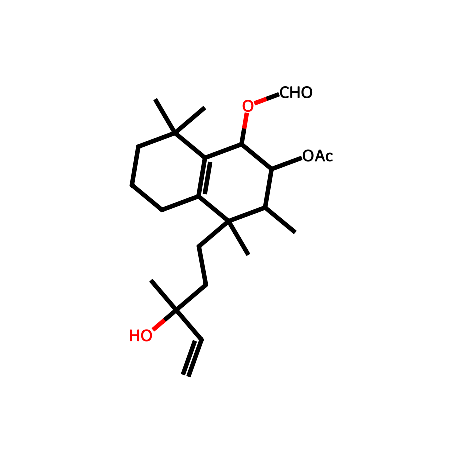 C=CC(C)(O)CCC1(C)C2=C(C(OC=O)C(OC(C)=O)C1C)C(C)(C)CCC2